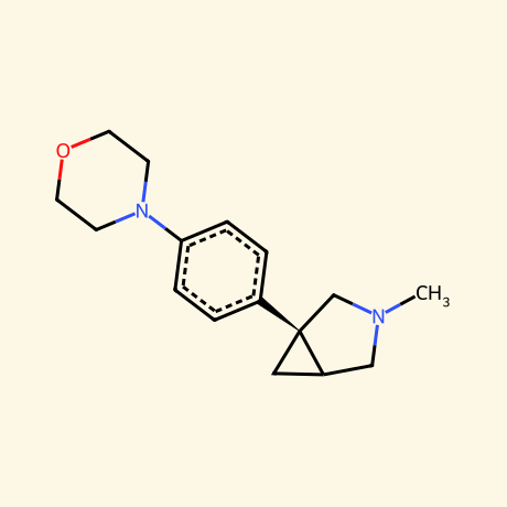 CN1CC2C[C@]2(c2ccc(N3CCOCC3)cc2)C1